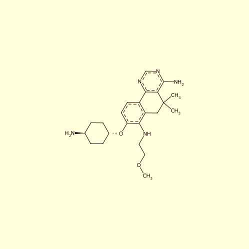 COCCNc1c(O[C@H]2CC[C@H](N)CC2)ccc2c1CC(C)(C)c1c(N)ncnc1-2